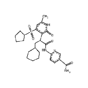 Cc1cc(S(=O)(=O)C2CCCC2)c(C(CC2CCCCC2)C(=O)Nc2ccc(C(N)=O)cn2)c(=O)[nH]1